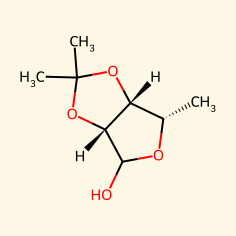 C[C@@H]1OC(O)[C@@H]2OC(C)(C)O[C@H]12